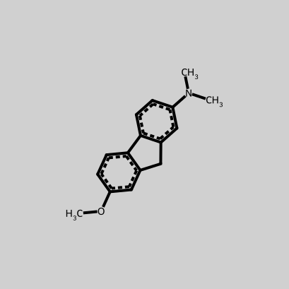 COc1ccc2c(c1)Cc1cc(N(C)C)ccc1-2